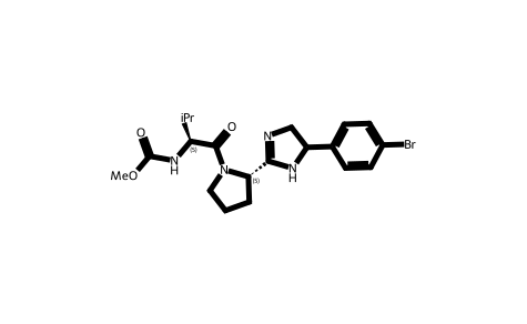 COC(=O)N[C@H](C(=O)N1CCC[C@H]1C1=NCC(c2ccc(Br)cc2)N1)C(C)C